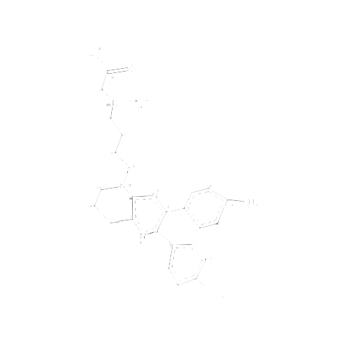 Cc1ccc(-c2nc3c(nc2-c2ccc(C)cc2)N(CCCC[C@@H](O)CC(=O)O)CCC3)cc1